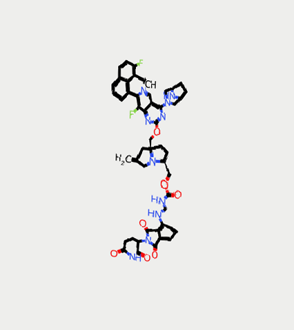 C#Cc1c(F)ccc2cccc(-c3ncc4c(N5CC6CCC(C5)N6)nc(OC[C@@]56CC[C@@H](COC(=O)NCNc7cccc8c7C(=O)N(C7CCC(=O)NC7=O)C8=O)N5CC(=C)C6)nc4c3F)c12